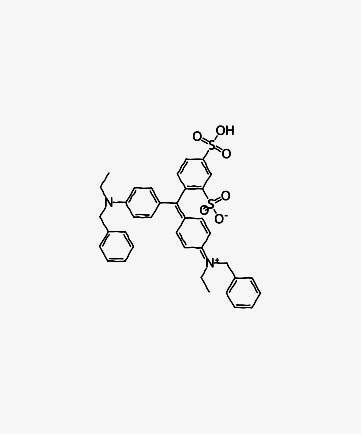 CCN(Cc1ccccc1)c1ccc(C(=C2C=CC(=[N+](CC)Cc3ccccc3)C=C2)c2ccc(S(=O)(=O)O)cc2S(=O)(=O)[O-])cc1